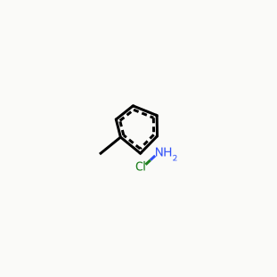 Cc1ccccc1.NCl